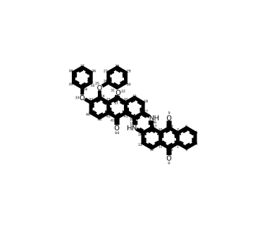 O=c1c2ccccc2c(=O)c2c1ccc1[nH]c3c(ccc4c(=O)c5c(Oc6ccccc6)c(Oc6ccccc6)ccc5c(=O)c43)[nH]c12